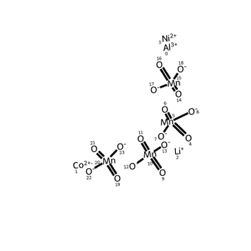 [Al+3].[Co+2].[Li+].[Ni+2].[O]=[Mn](=[O])([O-])[O-].[O]=[Mn](=[O])([O-])[O-].[O]=[Mn](=[O])([O-])[O-].[O]=[Mn](=[O])([O-])[O-]